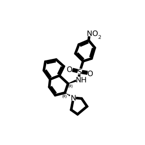 O=[N+]([O-])c1ccc(S(=O)(=O)N[C@@H]2c3ccccc3C=C[C@H]2N2CCCC2)cc1